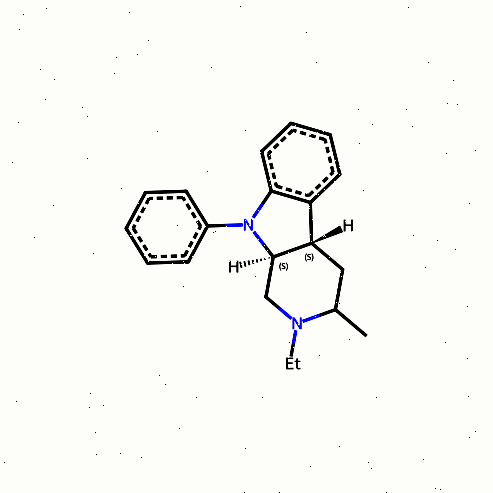 CCN1C[C@@H]2[C@@H](CC1C)c1ccccc1N2c1ccccc1